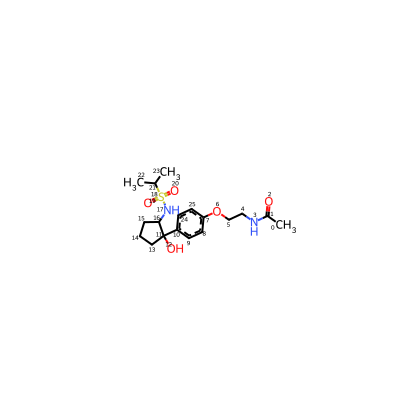 CC(=O)NCCOc1ccc(C2(O)CCCC2NS(=O)(=O)C(C)C)cc1